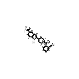 N#Cc1ccccc1C(=O)N1CCC(c2cc3cc(C(F)(F)F)ccc3[nH]2)CC1